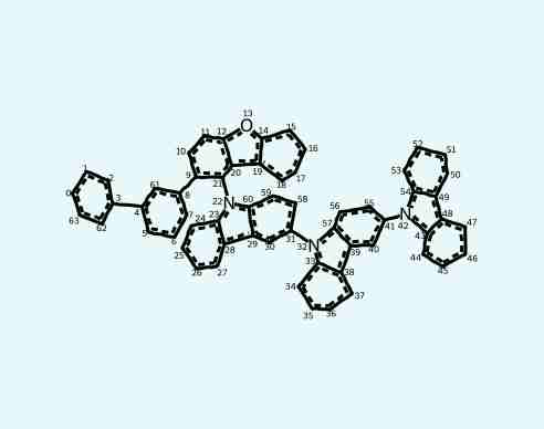 c1ccc(-c2cccc(-c3ccc4oc5ccccc5c4c3-n3c4ccccc4c4cc(-n5c6ccccc6c6cc(-n7c8ccccc8c8ccccc87)ccc65)ccc43)c2)cc1